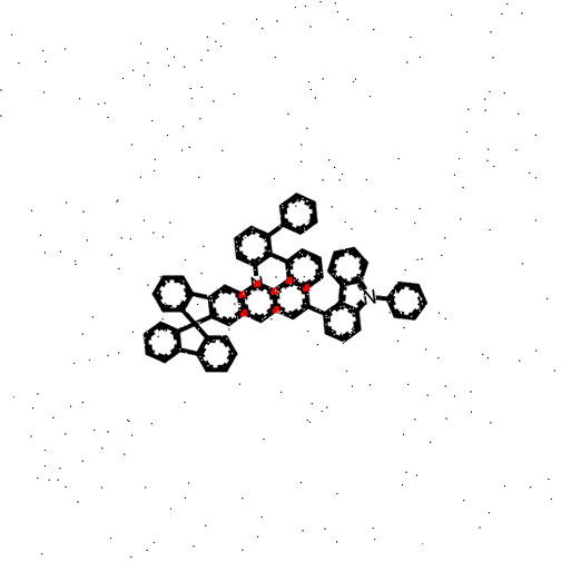 c1ccc(-c2ccccc2-c2c(-c3ccccc3)cccc2N(c2ccc(-c3cccc4c3c3ccccc3n4-c3ccccc3)cc2)c2ccc3c(c2)-c2ccccc2C32c3ccccc3-c3ccccc32)cc1